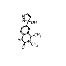 CC1c2cc(C3(O)C=CN=N3)ccc2NC(=O)N1C